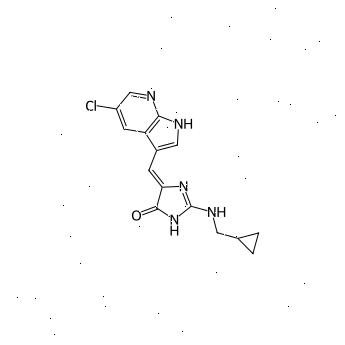 O=C1NC(NCC2CC2)=NC1=Cc1c[nH]c2ncc(Cl)cc12